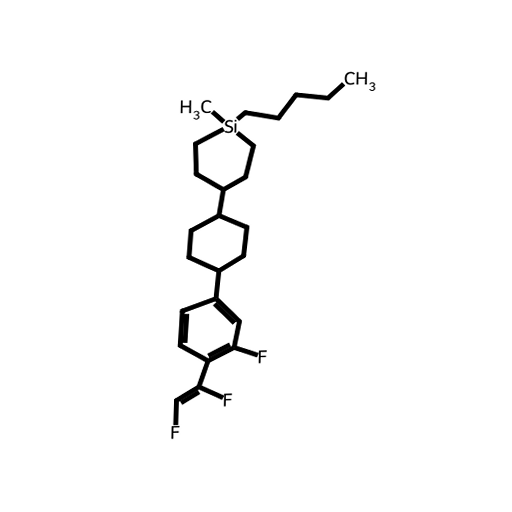 CCCCC[Si]1(C)CCC(C2CCC(c3ccc(C(F)=CF)c(F)c3)CC2)CC1